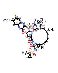 CC[C@@H]1C[C@H](C)CC/C=C\[C@@H]2C[C@@]2(C(=O)NS(=O)(=O)C2(C)CC2)NC(=O)[C@@H]2C[C@@H](Oc3nc4cc(OC)c(F)cc4nc3C(F)(F)F)CN2C(=O)[C@H]1N(C(=O)O)C(C)(C)C(F)(F)F